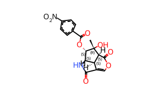 C[C@]1(O)[C@@H](OC(=O)c2ccc([N+](=O)[O-])cc2)[C@H]2NC(=O)C3=COC(=O)[C@H]1[C@@H]32